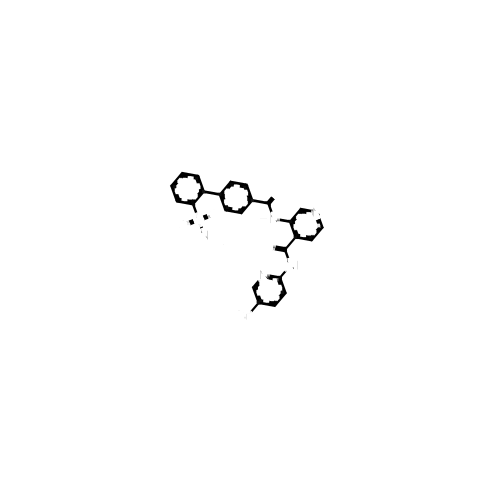 NS(=O)(=O)c1ccccc1-c1ccc(C(=O)Nc2cnccc2C(=O)Nc2ccc(Br)cn2)cc1